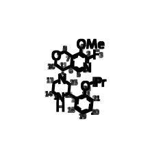 COc1c(F)ncc2c1COC[C@H]2N1CCN[C@H](c2ccccc2OC(C)C)C1